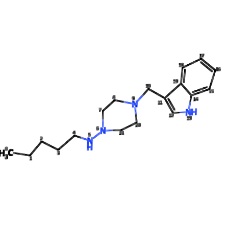 CCCCCNN1CCN(Cc2c[nH]c3ccccc23)CC1